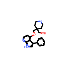 OCC1(COc2ccnc3[nH]cc(-c4ccccc4)c23)CCNCC1